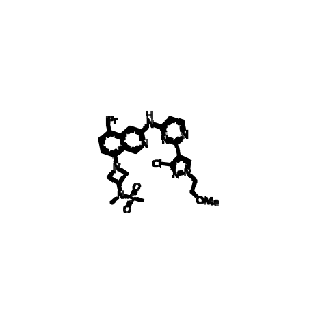 COCCn1cc(-c2nccc(Nc3cc4c(C(C)C)ccc(N5CC(N(C)S(C)(=O)=O)C5)c4cn3)n2)c(Cl)n1